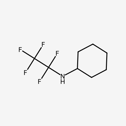 FC(F)(F)C(F)(F)NC1CCCCC1